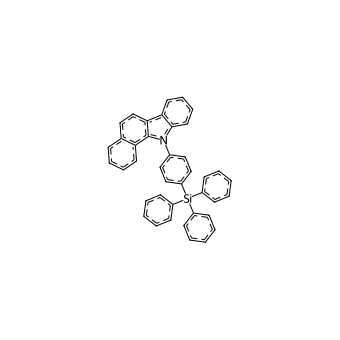 c1ccc([Si](c2ccccc2)(c2ccccc2)c2ccc(-n3c4ccccc4c4ccc5ccccc5c43)cc2)cc1